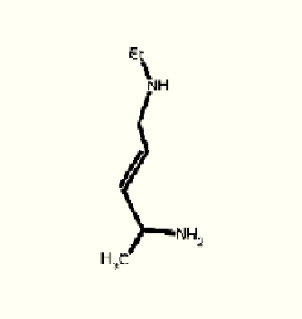 CCNC/C=C/C(C)N